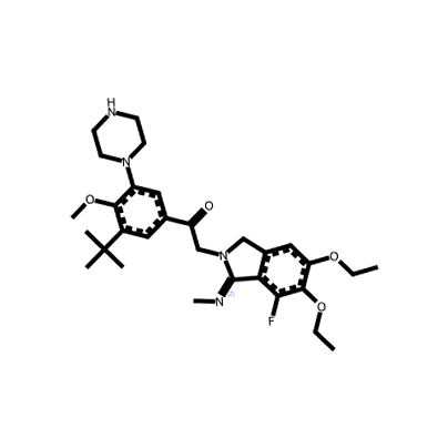 CCOc1cc2c(c(F)c1OCC)/C(=N/C)N(CC(=O)c1cc(N3CCNCC3)c(OC)c(C(C)(C)C)c1)C2